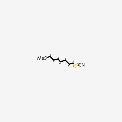 CSCCCCCCCSC#N